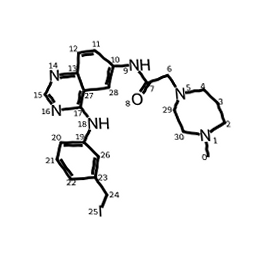 CN1CCCN(CC(=O)Nc2ccc3ncnc(Nc4cccc(CI)c4)c3c2)CC1